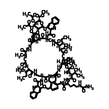 CC[C@H](C)[C@H]1C(=O)NC[C@@H](NC(=O)c2nc3ccccc3cc2O[C@@H]2O[C@H](C(=O)OC)[C@@H](OC(C)=O)[C@H](OC(C)=O)[C@H]2OC(C)=O)C(=O)N2CCCC[C@H]2C(=O)NCC(=O)N(C)CC(=O)N(C)[C@@H]([C@@H](C)CC)C(=O)NC[C@@H](NC(=O)c2nc3ccccc3cc2OCc2ccc(NC(=O)[C@H](CCCNC(N)=O)NC(=O)[C@@H](NC(=O)OC(C)(C)C)C(C)C)cc2)C(=O)N2CCCC[C@H]2C(=O)NCC(=O)N(C)CC(=O)N1C